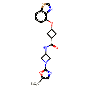 CCOC(=O)c1cnc(N2CC(NC(=O)[C@H]3C[C@H](Oc4cccc5scnc45)C3)C2)o1